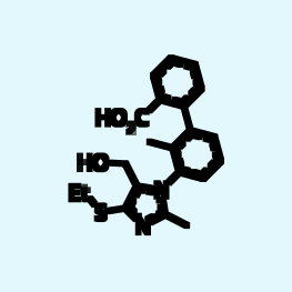 CCSc1nc(C)n(-c2cccc(-c3ccccc3C(=O)O)c2C)c1CO